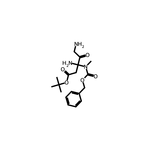 CN(C(=O)OCc1ccccc1)C(N)(CC(=O)OC(C)(C)C)C(=O)CN